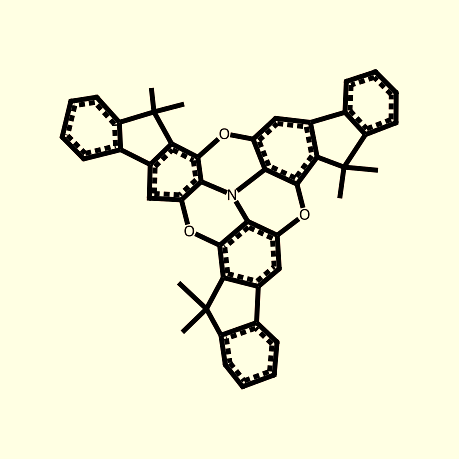 CC1(C)c2ccccc2-c2cc3c4c(c21)Oc1cc2c(c5c1N4c1c(cc4c(c1O3)C(C)(C)c1ccccc1-4)O5)C(C)(C)c1ccccc1-2